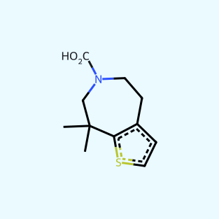 CC1(C)CN(C(=O)O)CCc2ccsc21